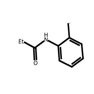 [CH2]c1ccccc1NC(=O)CC